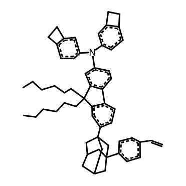 C=Cc1ccc(C23CC4CC(C2)CC(c2ccc5c(c2)C(CCCCCC)(CCCCCC)c2cc(N(c6ccc7c(c6)CC7)c6ccc7c(c6)CC7)ccc2-5)(C4)C3)cc1